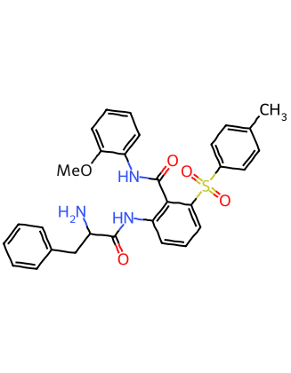 COc1ccccc1NC(=O)c1c(NC(=O)C(N)Cc2ccccc2)cccc1S(=O)(=O)c1ccc(C)cc1